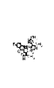 Cc1cc(-n2c(C(C)Nc3ncnc(N)c3-c3nnn(C)n3)cc3ccc(F)cc3c2=O)n[nH]1